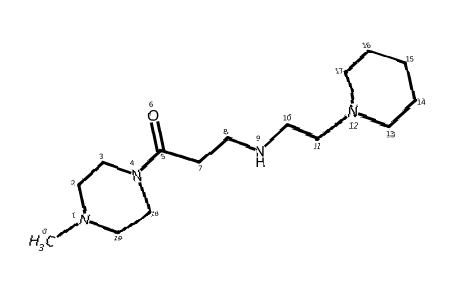 CN1CCN(C(=O)CCNCCN2CCCCC2)CC1